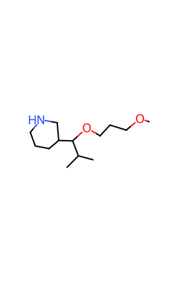 COCCCOC(C(C)C)C1CCCNC1